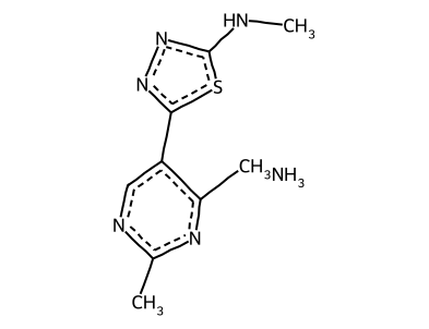 CNc1nnc(-c2cnc(C)nc2C)s1.N